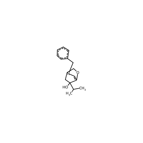 CC(C)C1(O)CC2COC1=CN2Cc1ccccc1